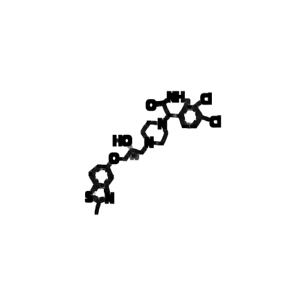 Cc1nc2cc(OC[C@H](O)CN3CCN(C(C(N)=O)c4ccc(Cl)c(Cl)c4)CC3)ccc2s1